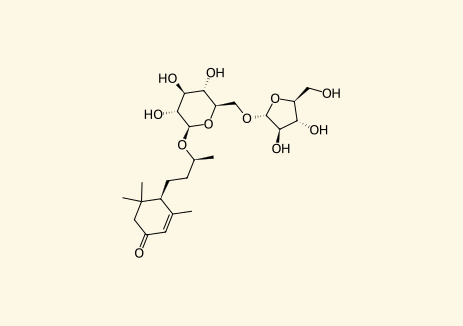 CC1=CC(=O)CC(C)(C)[C@H]1CC[C@H](C)O[C@@H]1O[C@H](CO[C@@H]2O[C@@H](CO)[C@H](O)[C@H]2O)[C@@H](O)[C@H](O)[C@H]1O